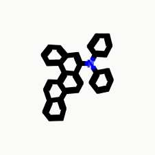 c1ccc(N(c2ccccc2)c2cc3ccccc3c3c2ccc2c4ccccc4ccc23)cc1